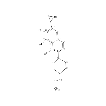 CCCC1CCC(c2ccc3cc(C4CO4)c(F)c(F)c3c2F)CC1